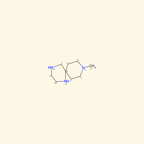 CN1CCC2(CC1)CNCCN2